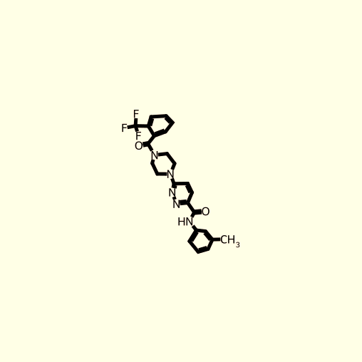 Cc1cccc(NC(=O)c2ccc(N3CCN(C(=O)c4ccccc4C(F)(F)F)CC3)nn2)c1